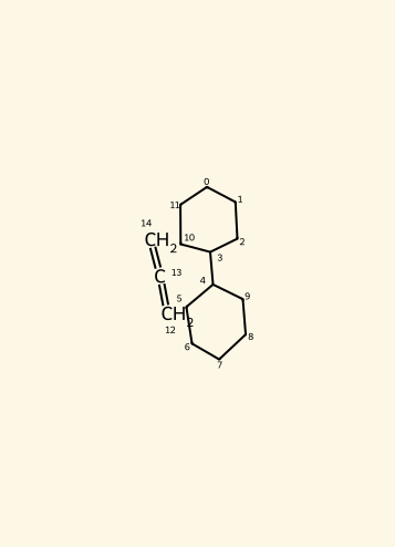 C1CCC(C2CCCCC2)CC1.C=C=C